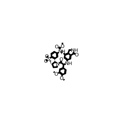 COC(=O)Nc1ccc(S(=O)(=O)I)c([C@H]2CCCN2C(=O)C(Nc2cc(F)c3c(c2)C(=O)NC3)c2ccc(OC)c(OC)c2)c1